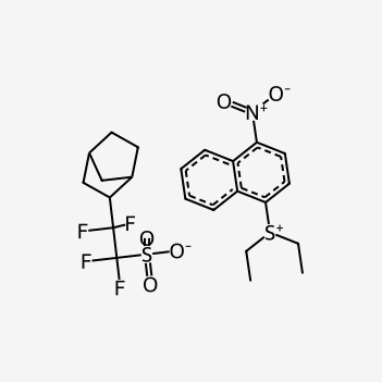 CC[S+](CC)c1ccc([N+](=O)[O-])c2ccccc12.O=S(=O)([O-])C(F)(F)C(F)(F)C1CC2CCC1C2